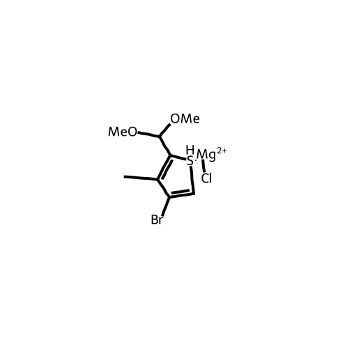 COC(OC)C1=C(C)C(Br)=C[SH]1.[Mg+2][Cl]